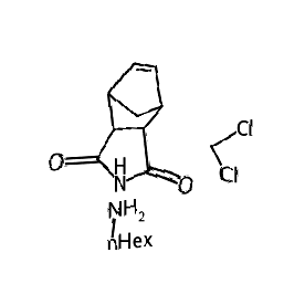 CCCCCCN.ClCCl.O=C1NC(=O)C2C3C=CC(C3)C12